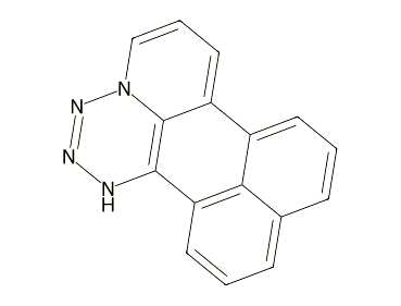 c1cc2cccc3c4[nH]nnn5cccc(c(c1)c23)c45